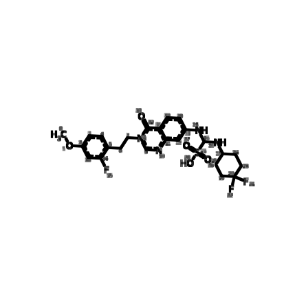 COc1ccc(CCn2cnc3cc(NC(NC4CCC(F)(F)CC4)S(=O)(=O)O)ccc3c2=O)c(F)c1